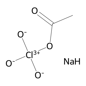 CC(=O)O[Cl+3]([O-])([O-])[O-].[NaH]